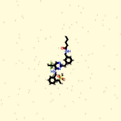 CCCCC(=O)NCc1cccc(Cc2ncc(C(C)(F)F)c(NCc3ccccc3C(C)S(C)(=O)=O)n2)c1